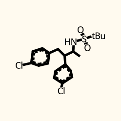 CC(NS(=O)(=O)C(C)(C)C)C(Cc1ccc(Cl)cc1)c1ccc(Cl)cc1